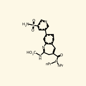 CCCN(CCC)C(=O)C1=Cc2ccc(-c3cncc(S(N)(=O)=O)c3)cc2N=C(NC(=O)O)C1